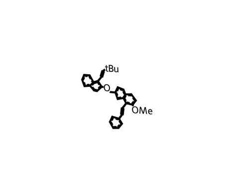 COc1ccc2ccc(COc3ccc4ccccc4c3C#CC(C)(C)C)cc2c1C#Cc1ccccc1